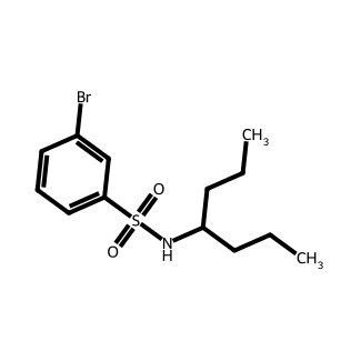 CCCC(CCC)NS(=O)(=O)c1cccc(Br)c1